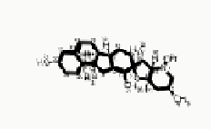 CCCN1C[C@@H](C)C[C@H]2OC3(CC[C@@H]4C(=C3C)C[C@H]3[C@H]4CC=C4C[C@@H](O)CC[C@@]43C)[C@H](C)[C@@H]21